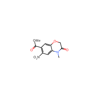 COC(=O)c1cc2c(cc1[N+](=O)[O-])N(C)C(=O)CO2